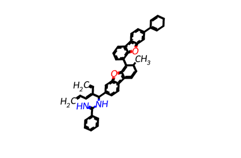 C=C/C=C(\C=C)C(NC(=N)c1ccccc1)c1ccc2c3c(oc2c1)=C(c1cccc2c1oc1cc(C4=CCCC=C4)ccc12)C(C)C=C=3